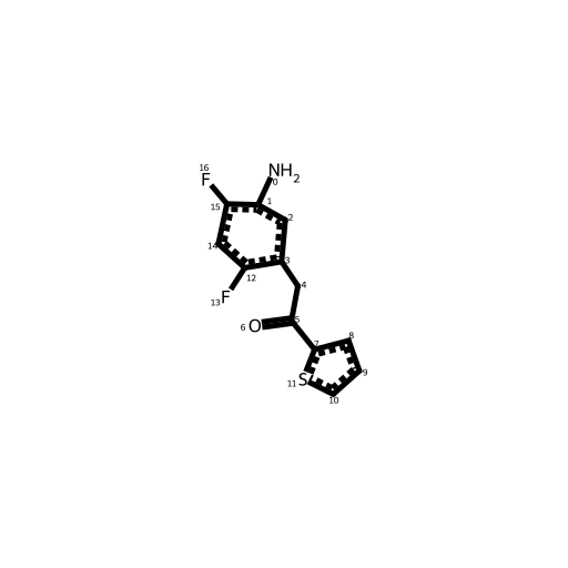 Nc1cc(CC(=O)c2cccs2)c(F)cc1F